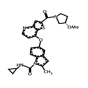 CO[C@H]1CCN(C(=O)c2cc3nccc(Oc4ccc5c(c4)cc(C)n5C(=O)NC4CC4)c3s2)C1